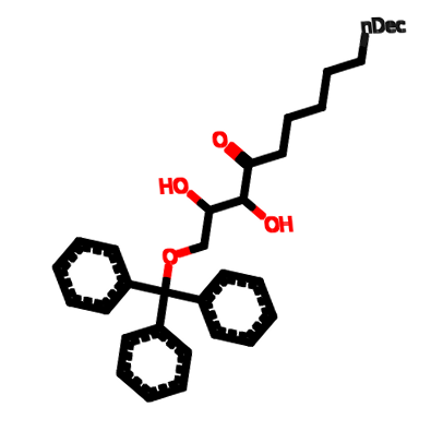 CCCCCCCCCCCCCCCC(=O)C(O)C(O)COC(c1ccccc1)(c1ccccc1)c1ccccc1